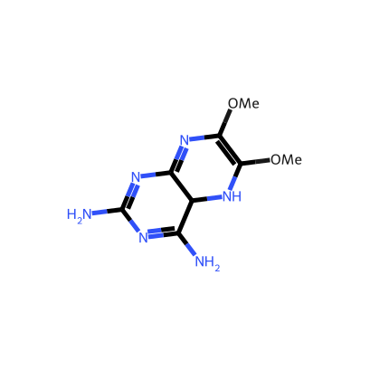 COC1=C(OC)NC2C(N)=NC(N)=NC2=N1